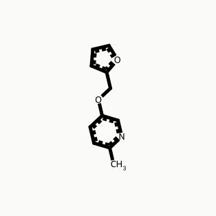 Cc1ccc(OCc2ccco2)cn1